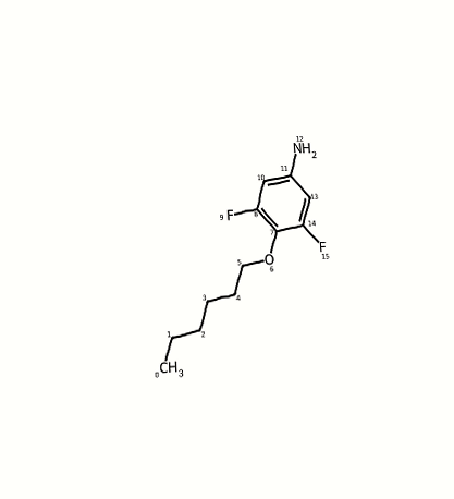 CCCCCCOc1c(F)cc(N)cc1F